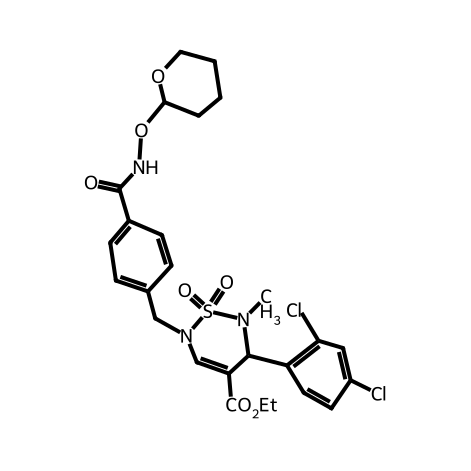 CCOC(=O)C1=CN(Cc2ccc(C(=O)NOC3CCCCO3)cc2)S(=O)(=O)N(C)C1c1ccc(Cl)cc1Cl